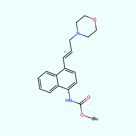 CC(C)(C)OC(=O)Nc1ccc(/C=C/CN2CCOCC2)c2ccccc12